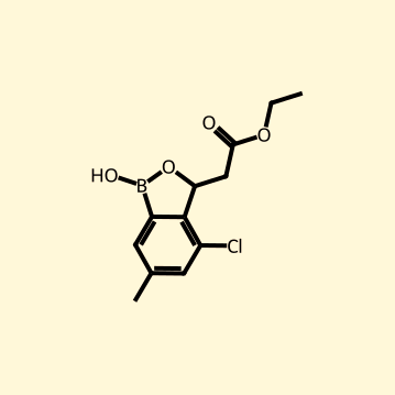 CCOC(=O)CC1OB(O)c2cc(C)cc(Cl)c21